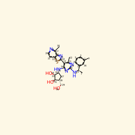 Cc1cccc([C@@H](C)Nc2nc(C)c(-c3nc4c(C)nccc4s3)c(N[C@@H]3C[C@H](CO)[C@@H](O)[C@H]3O)n2)c1